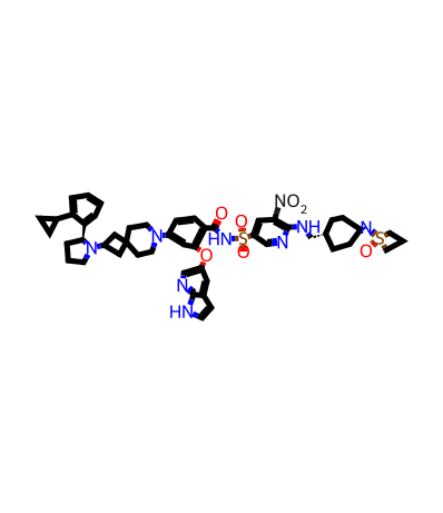 O=C(NS(=O)(=O)c1cnc(NC[C@H]2CC[C@@H](N=S3(=O)CCC3)CC2)c([N+](=O)[O-])c1)c1ccc(N2CCC3(CC2)CC(N2CCC[C@H]2c2ccccc2C2CC2)C3)cc1Oc1cnc2[nH]ccc2c1